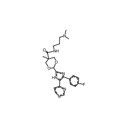 CN(C)CCCNC(=O)C1(C)COC(c2nc(-c3ccc(F)cc3)c(-c3ccn[c]n3)[nH]2)OC1